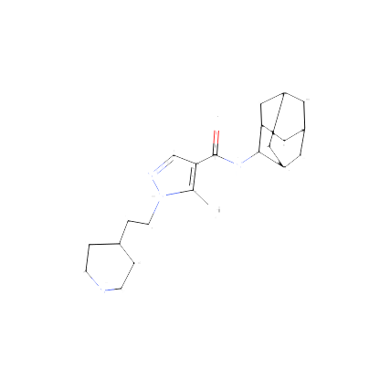 CC(C)COc1c(C(=O)NC2C3CC4CC(C3)CC2C4)cnn1CCC1CCNCC1